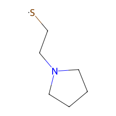 [S]CCN1CCCC1